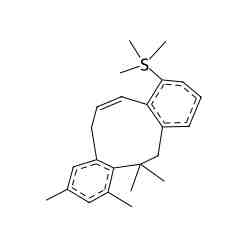 Cc1cc(C)c2c(c1)C/C=C\c1c(cccc1S(C)(C)C)CC2(C)C